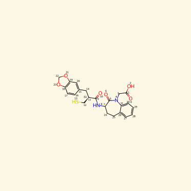 O=C(O)CN1C(=O)C(NC(=O)[C@@H](CS)Cc2ccc3c(c2)OCO3)CCc2ccccc21